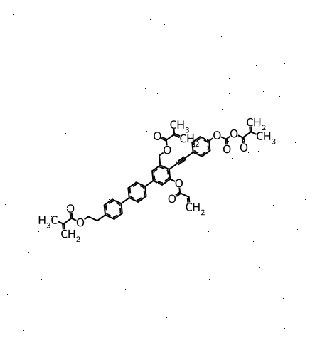 C=CC(=O)Oc1cc(-c2ccc(-c3ccc(CCOC(=O)C(=C)C)cc3)cc2)cc(COC(=O)C(=C)C)c1C#Cc1ccc(OC(=O)OC(=O)C(=C)C)cc1